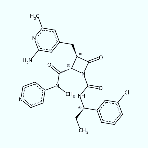 CC[C@@H](NC(=O)N1C(=O)[C@H](Cc2cc(C)nc(N)c2)[C@H]1C(=O)N(C)c1ccncc1)c1cccc(Cl)c1